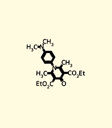 CCOC(=O)c1c(C)n(-c2ccc(N(C)C)cc2)c(C)c(C(=O)OCC)c1=O